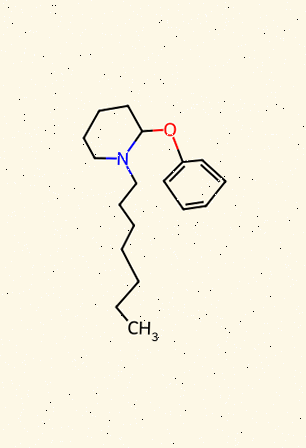 CCCCCCCN1CCCCC1Oc1ccccc1